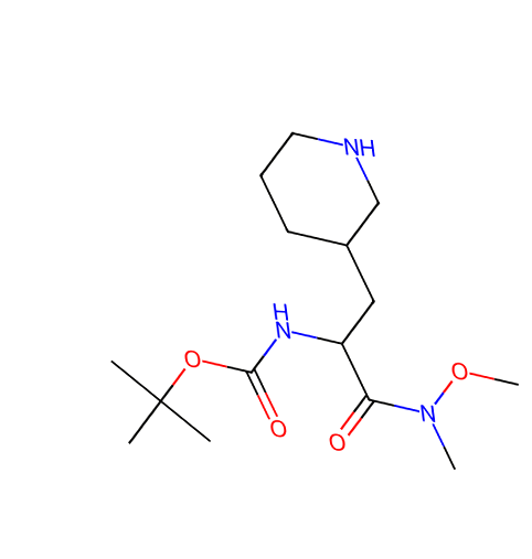 CON(C)C(=O)C(CC1CCCNC1)NC(=O)OC(C)(C)C